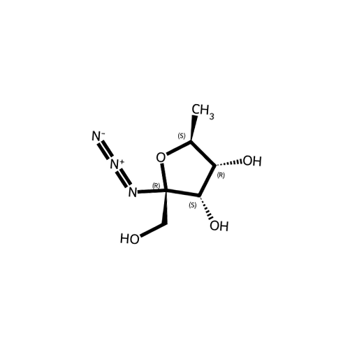 C[C@@H]1O[C@@](CO)(N=[N+]=[N-])[C@@H](O)[C@H]1O